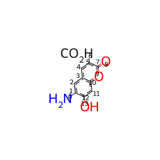 Nc1cc2cc(C(=O)O)c(=O)oc2cc1O